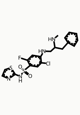 CNC(CNc1cc(F)c(S(=O)(=O)Nc2nccs2)cc1Cl)Cc1ccccc1